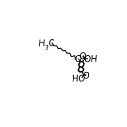 CCCCCCCCCCCCOc1cc2ccc(C(=O)O)cc2cc1C(=O)O